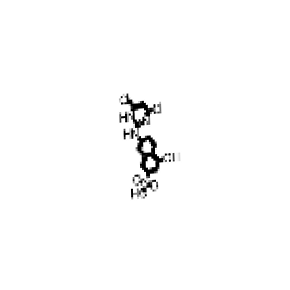 O=S(=O)(O)c1cc(O)c2ccc(NN3N=C(Cl)C=C(Cl)N3)cc2c1